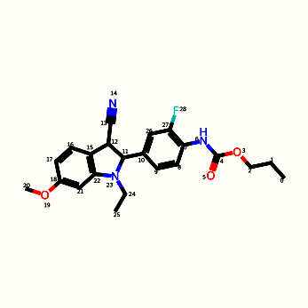 CCCOC(=O)Nc1ccc(C2C(C#N)c3ccc(OC)cc3N2CC)cc1F